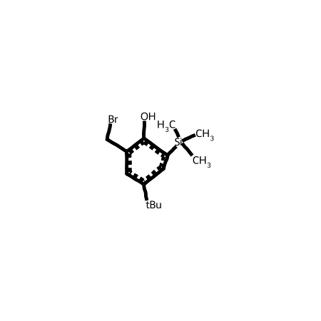 CC(C)(C)c1cc(CBr)c(O)c([Si](C)(C)C)c1